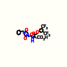 O=C(O)C[C@H](NC(=O)CN1CC(=O)N(Cc2ccccc2)CC1=O)C(=O)COc1cc(C(F)(F)F)cc(C(F)(F)F)c1